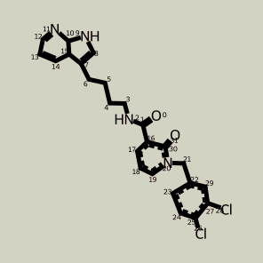 O=C(NCCCCC1=CNC2N=CC=CC12)c1cccn(Cc2ccc(Cl)c(Cl)c2)c1=O